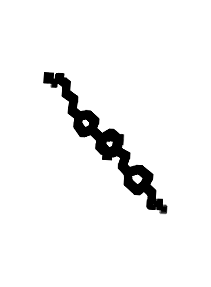 CCCCCC1CCC(c2cnc(CCC3CCC(CC)CC3)nc2)CC1